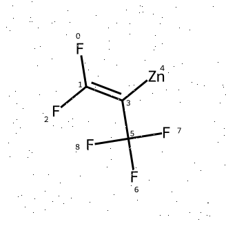 FC(F)=[C]([Zn])C(F)(F)F